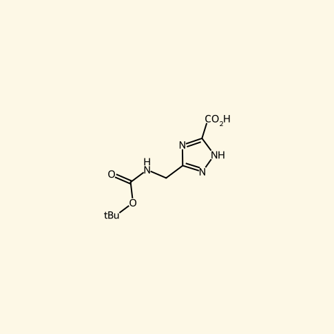 CC(C)(C)OC(=O)NCc1n[nH]c(C(=O)O)n1